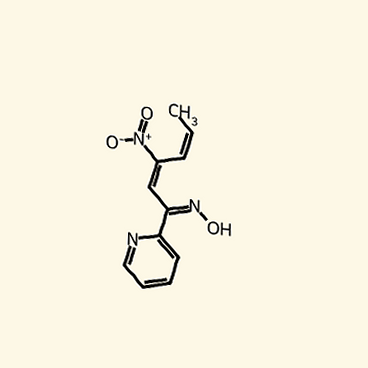 C\C=C/C(=C\C(=N\O)c1ccccn1)[N+](=O)[O-]